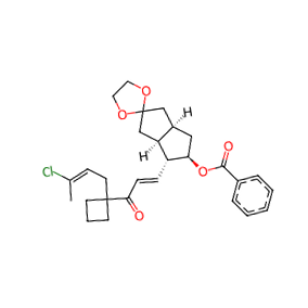 C/C(Cl)=C\CC1(C(=O)C=C[C@@H]2[C@H]3CC4(C[C@H]3C[C@H]2OC(=O)c2ccccc2)OCCO4)CCC1